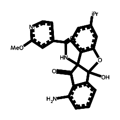 COc1cc(C(=O)NC23C(=O)c4c(N)cccc4C2(O)Oc2cc(C(C)C)ccc23)ccn1